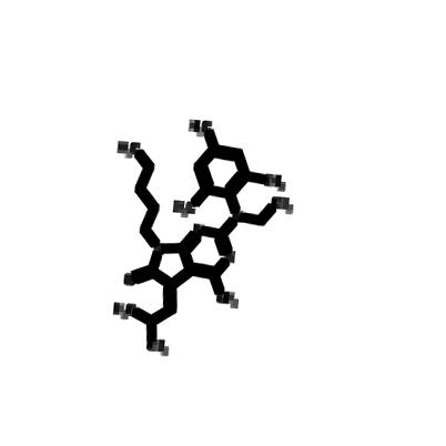 CCCCCN1C(=O)C(=CC(C)C)c2c(C)nc(N(CC)c3c(C)cc(C)cc3C)nc21